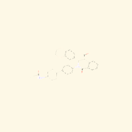 CC(=O)NC1CCC(c2ccc(N3C(=O)c4ccccc4[C@H](C(=O)O)[C@H]3c3ccc4c(c3)OCCO4)cc2)CC1